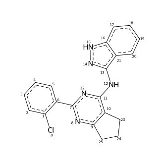 Clc1ccccc1-c1nc2c(c(Nc3n[nH]c4ccccc34)n1)CCC2